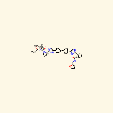 COC(=O)N[C@H](C(=O)N1CCC[C@H]1c1ncc(-c2ccc(-c3ccc(-c4cnc(C5C6CCC(C6)C5C(=O)NCc5ccco5)[nH]4)cc3)cc2)[nH]1)[C@@H](C)OC